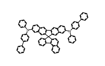 c1ccc(-c2ccc(N(c3ccccc3)c3ccc4cc5c(cc4c3)C3(c4cc6cc(N(c7ccccc7)c7ccc(-c8ccccc8)cc7)ccc6cc4-5)c4ccccc4-c4c3ccc3ccccc43)cc2)cc1